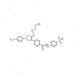 CCS(=O)(=O)c1ccc(CNC(=O)c2ccc(N3CC(c4ccc(C(F)(F)F)cc4)C[C@H]3COCCC#N)cc2)cc1